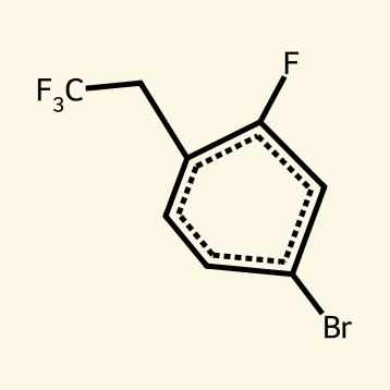 Fc1cc(Br)ccc1CC(F)(F)F